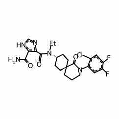 CCN(C(=O)c1nc[nH]c1C(N)=O)[C@H]1CC[C@@]2(CCCN(c3cc(F)c(F)cc3Cl)C2=O)CC1